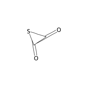 O=c1sc1=O